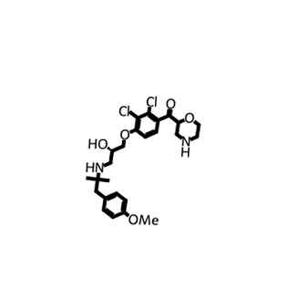 COc1ccc(CC(C)(C)NC[C@@H](O)COc2ccc(C(=O)C3CNCCO3)c(Cl)c2Cl)cc1